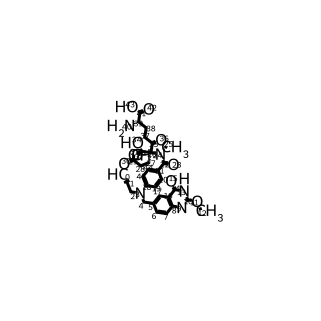 C#CCN(Cc1ccc2nc(OC)[nH]c(=O)c2c1)c1ccc(C(=O)N(C)[C@@](CCC(=O)O)(C(=O)O)C(=O)CC[C@H](N)C(=O)O)cc1